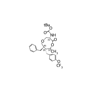 C[C@@H]1OC(=O)[C@@H](NC(=O)OC(C)(C)C)COC[C@H](Cc2ccccc2)[C@H]1Cc1ccc(OC(F)(F)F)cc1